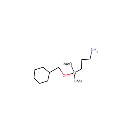 CO[Si](CCCN)(OC)OCC1CCCCC1